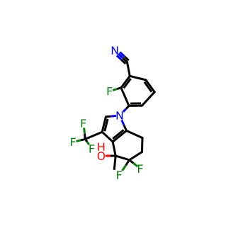 CC1(O)c2c(C(F)(F)F)cn(-c3cccc(C#N)c3F)c2CCC1(F)F